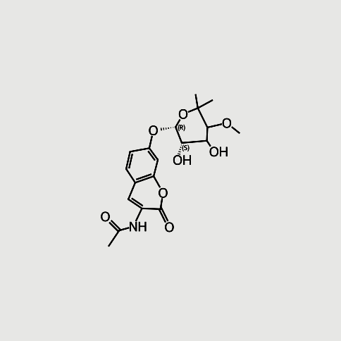 COC1C(O)[C@H](O)[C@H](Oc2ccc3cc(NC(C)=O)c(=O)oc3c2)OC1(C)C